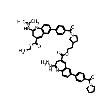 CCOC(=O)C1=Cc2cc(-c3ccc(C(=O)N4CCC(CCOC(=O)C5=Cc6cc(-c7ccc(C(=O)N8CCCC8)cc7)ccc6N=C(NN)C5)C4)cc3)ccc2N=C(NN(C)C)C1